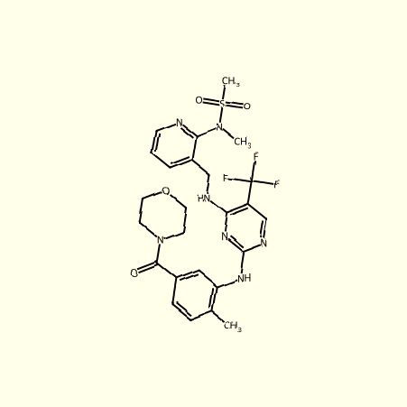 Cc1ccc(C(=O)N2CCOCC2)cc1Nc1ncc(C(F)(F)F)c(NCc2cccnc2N(C)S(C)(=O)=O)n1